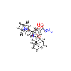 NC(=O)c1cccc([C@H]2C[C@H]3CC[C@@H](C2)N3CCN(CC23CC4CC(CC(C4)C2)C3)C(=O)CO)c1